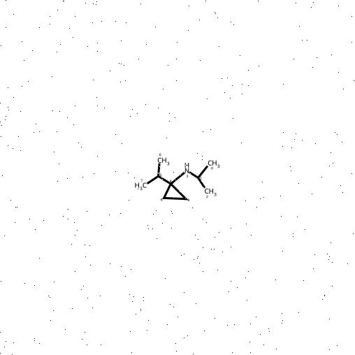 CC(C)NC1(C(C)C)CC1